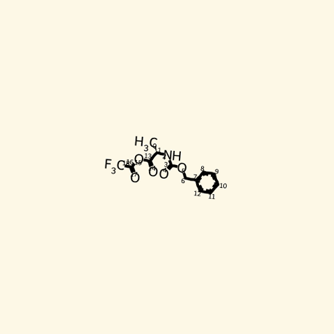 C[C@H](NC(=O)OCc1ccccc1)C(=O)OC(=O)C(F)(F)F